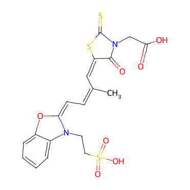 CC(=CC=C1Oc2ccccc2N1CCS(=O)(=O)O)C=C1SC(=S)N(CC(=O)O)C1=O